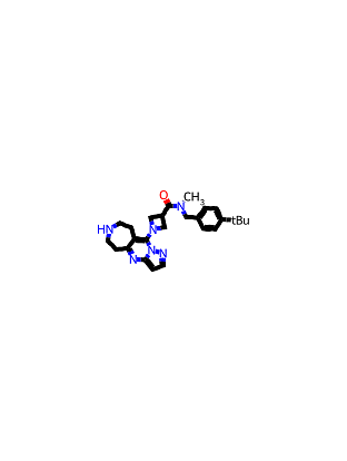 CN(Cc1ccc(C(C)(C)C)cc1)C(=O)C1CN(c2c3c(nc4ccnn24)CCNCC3)C1